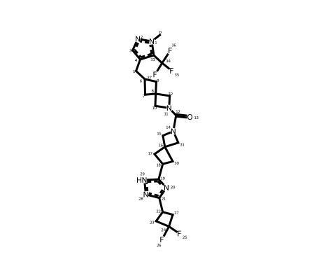 Cn1ncc(CC2CC3(C2)CN(C(=O)N2CC4(CC(c5nc(C6CC(F)(F)C6)n[nH]5)C4)C2)C3)c1C(F)(F)F